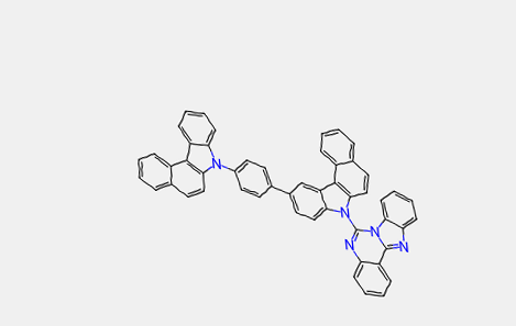 c1ccc2c(c1)ccc1c2c2ccccc2n1-c1ccc(-c2ccc3c(c2)c2c4ccccc4ccc2n3-c2nc3ccccc3c3nc4ccccc4n23)cc1